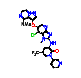 CNc1nccn2ncc(Oc3cnc4nc(Nc5cc(C(F)(F)F)cn(-c6cccnc6)c5=O)n(C)c4c3Cl)c12